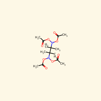 CC(=O)ON(OC(C)=O)C(C)(C)C(C)(C)N(OC(C)=O)OC(C)=O